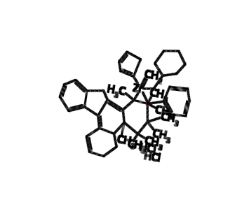 Cl.Cl.[CH2]=[Zr]([CH2]c1ccccc1)([CH2]C1CCCCC1)([C]1=CC=CC1)[C]1(C)C2=C3Cc4ccccc4C3=C3C=CCCC3C2(C)C(C)(C)C(C)(C)C1(C)C